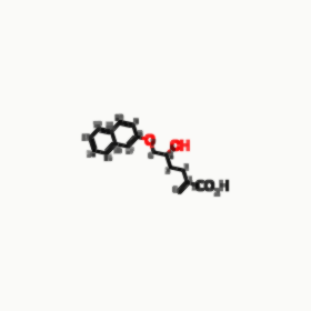 C=C(CCC(O)COc1ccc2ccccc2c1)C(=O)O